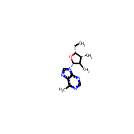 CC[C@H]1O[C@@H](n2cnc3c(C)ncnc32)C(C)[C@H]1C